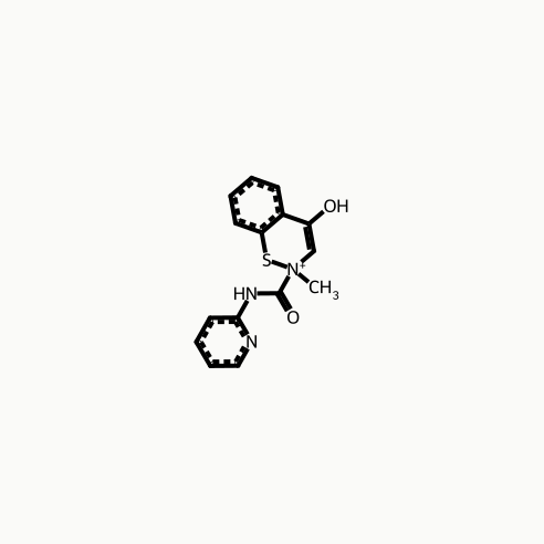 C[N+]1(C(=O)Nc2ccccn2)C=C(O)c2ccccc2S1